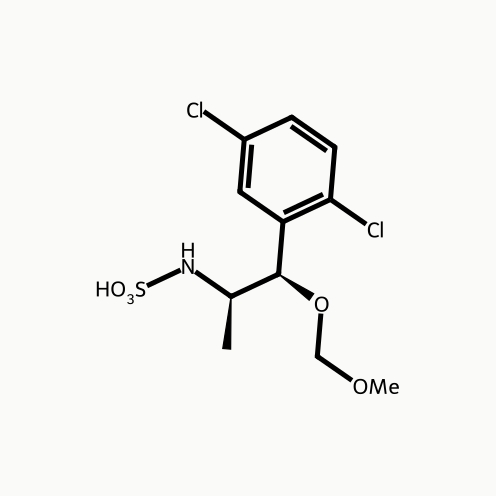 COCO[C@H](c1cc(Cl)ccc1Cl)[C@@H](C)NS(=O)(=O)O